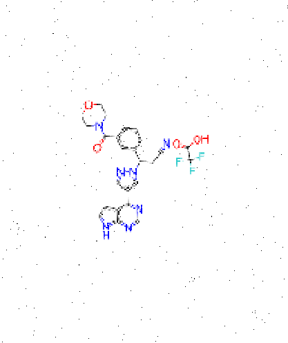 N#CCC(c1cccc(C(=O)N2CCOCC2)c1)n1cc(-c2ncnc3[nH]ccc23)cn1.O=C(O)C(F)(F)F